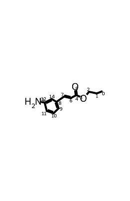 CCCOC(=O)/C=C/c1cccc(N)c1